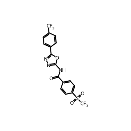 O=C(Nc1nnc(-c2ccc(C(F)(F)F)cc2)o1)c1ccc(S(=O)(=O)C(F)(F)F)cc1